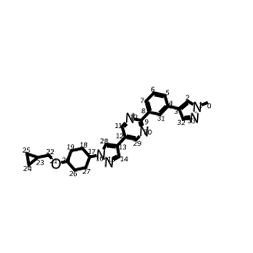 Cn1cc(-c2cccc(-c3ncc(-c4cnn(C5CCC(OCC6CC6)CC5)c4)cn3)c2)cn1